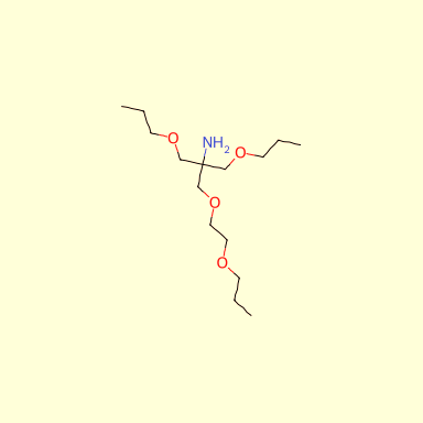 CCCOCCOCC(N)(COCCC)COCCC